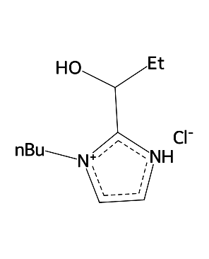 CCCC[n+]1cc[nH]c1C(O)CC.[Cl-]